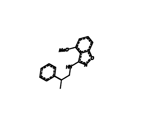 COc1cccc2onc(NCC(C)c3ccccc3)c12